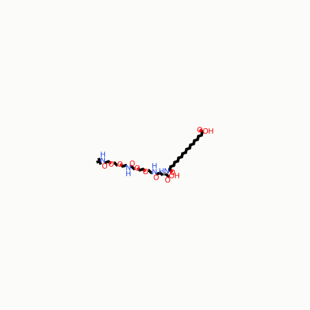 CC(C)(C)NC(=O)COCCOCCNC(=O)COCCOCCNC(=O)CC[C@H](NC(=O)CCCCCCCCCCCCCCCCC(=O)O)C(=O)O